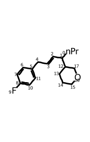 CCC[C](C=CCc1ccc(F)cc1)C1CCCOC1